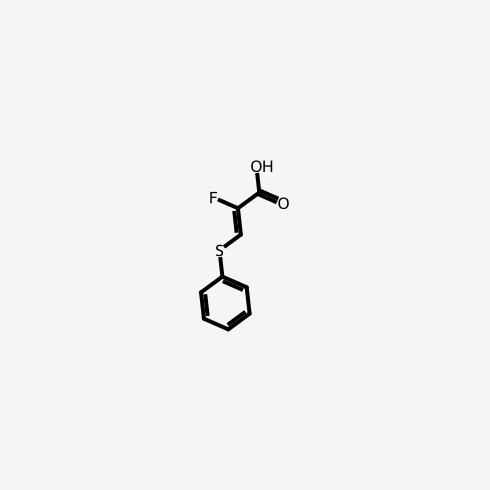 O=C(O)C(F)=CSc1ccccc1